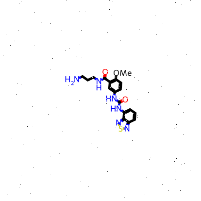 COc1ccc(NC(=O)Nc2cccc3nsnc23)cc1C(=O)NCCCN